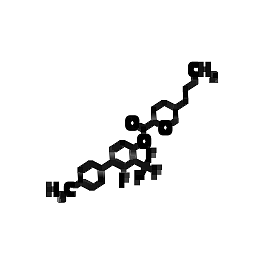 C=CCCC1CCC(C(=O)Oc2ccc(-c3ccc(C)cc3)c(F)c2C(F)(F)F)OC1